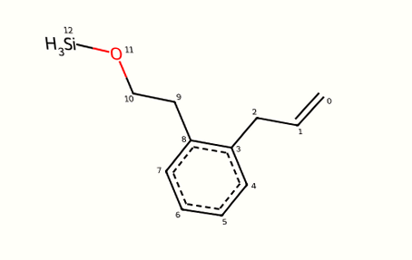 C=CCc1ccccc1CCO[SiH3]